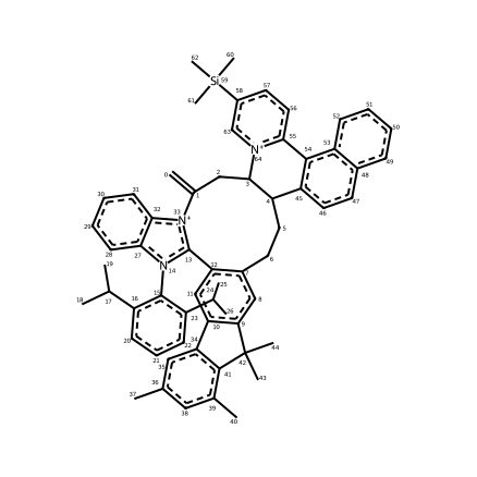 C=C1CC2C(CCc3cc4c(cc3-c3n(-c5c(C(C)C)cccc5C(C)C)c5ccccc5[n+]31)-c1cc(C)cc(C)c1C4(C)C)c1ccc3ccccc3c1-c1ccc([Si](C)(C)C)c[n+]12